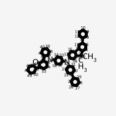 CC1(C)c2ccc(-c3ccccc3)cc2-c2ccc(N(c3ccc(-c4ccccc4)cc3)c3ccc(-n4c5ccccc5c5c6oc7ccccc7c6ccc54)cc3)cc21